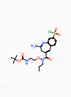 CCCN(OCCNC(=O)OC(C)(C)C)C(=O)C1=Cc2ccc(S(=O)(=O)Cl)cc2N=C(N)C1